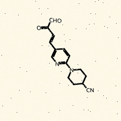 N#CC1CCN(c2ccc(/C=C/C(=O)C=O)cn2)CC1